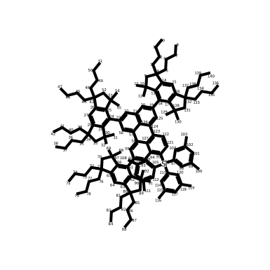 CCCCC1(CCCC)CC(C)(C)c2c1cc1c(c2-c2cc3cc(-c4c5c(cc6c4C(C)(C)CC6(CCCC)CCCC)C(CCCC)(CCCC)CC5(C)C)cc4c5cc(-c6c7c(cc8c6C(C)(C)CC8(CCCC)CCCC)C(CCCC)(CCCC)CC7(C)C)cc6c([Si](c7cc(C)cc(C)c7)(c7cc(C)cc(C)c7)c7cc(C)cc(C)c7)ccc(c(c2)c34)c65)C(C)(C)CC1(CCCC)CCCC